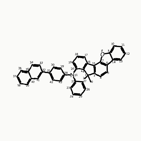 CC1(C)c2ccc3c(oc4ccccc43)c2-c2cccc(N(c3ccccc3)c3ccc(-c4ccc5ccccc5c4)cc3)c21